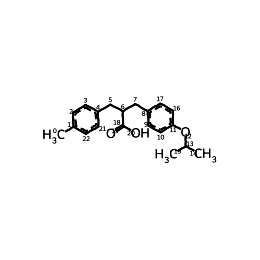 Cc1ccc(CC(Cc2ccc(OC(C)C)cc2)C(=O)O)cc1